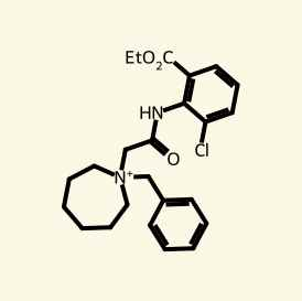 CCOC(=O)c1cccc(Cl)c1NC(=O)C[N+]1(Cc2ccccc2)CCCCCC1